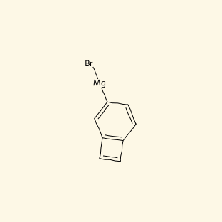 [Br][Mg][c]1ccc2c(c1)C=C2